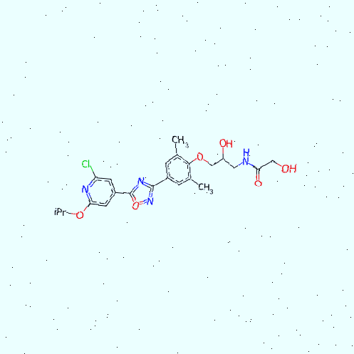 Cc1cc(-c2noc(-c3cc(Cl)nc(OC(C)C)c3)n2)cc(C)c1OCC(O)CNC(=O)CO